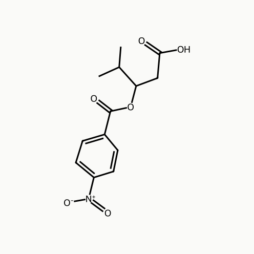 CC(C)C(CC(=O)O)OC(=O)c1ccc([N+](=O)[O-])cc1